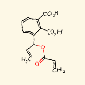 C=CC(=O)OC(C=C)c1cccc(C(=O)O)c1C(=O)O